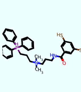 C[N+](C)(CCCNC(=O)c1cc(S)cc(S)c1)CCC[PH](c1ccccc1)(c1ccccc1)c1ccccc1